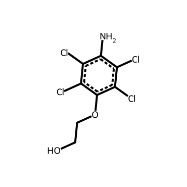 Nc1c(Cl)c(Cl)c(OCCO)c(Cl)c1Cl